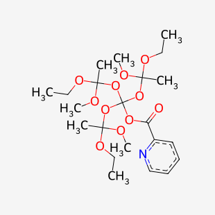 CCOC(C)(OC)OC(OC(=O)c1ccccn1)(OC(C)(OC)OCC)OC(C)(OC)OCC